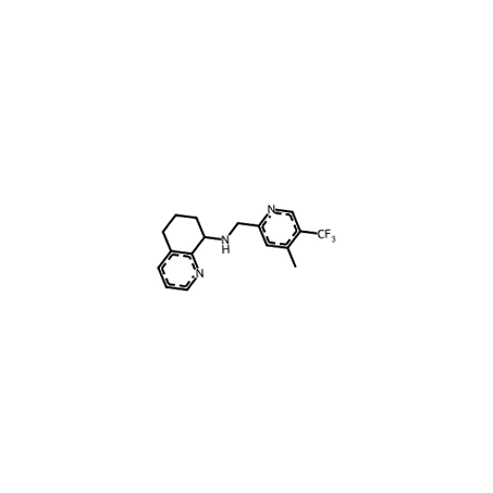 Cc1cc(CNC2CCCc3cccnc32)ncc1C(F)(F)F